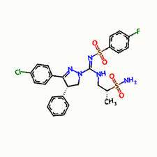 C[C@H](CN/C(=N\S(=O)(=O)c1ccc(F)cc1)N1C[C@H](c2ccccc2)C(c2ccc(Cl)cc2)=N1)S(N)(=O)=O